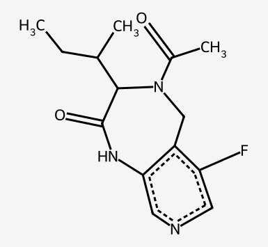 CCC(C)C1C(=O)Nc2cncc(F)c2CN1C(C)=O